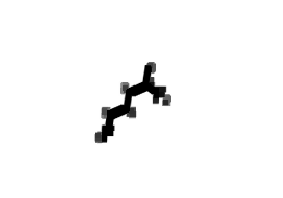 CC(F)=CC=CF